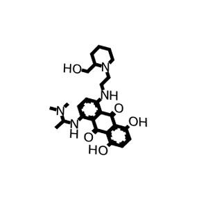 CC(Nc1ccc(NCCN2CCCCC2CO)c2c1C(=O)c1c(O)ccc(O)c1C2=O)N(C)C